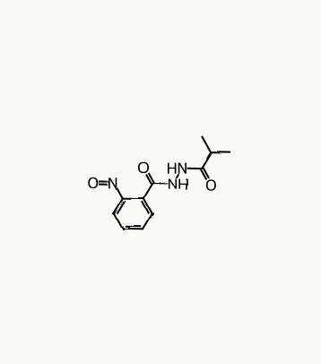 CC(C)C(=O)NNC(=O)c1ccccc1N=O